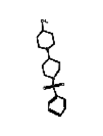 CC1CCN(C2CCN(S(=O)(=O)c3ccccc3)CC2)CC1